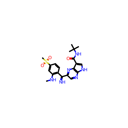 CNc1cc(S(C)(=O)=O)ccc1C(=N)c1cnc2[nH]cc(C(=O)NC(C)(C)C)c2n1